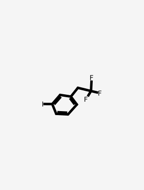 FC(F)(F)Cc1cccc(I)c1